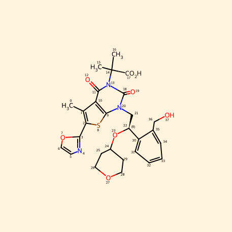 Cc1c(-c2ncco2)sc2c1c(=O)n(C(C)(C)C(=O)O)c(=O)n2C[C@H](OC1CCOCC1)c1ccccc1CO